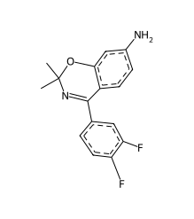 CC1(C)N=C(c2ccc(F)c(F)c2)c2ccc(N)cc2O1